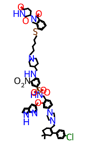 CC1(C)CCC(CN2CCN(c3ccc(C(=O)NS(=O)(=O)c4ccc(NCC5CCN(CCCCCCSc6cccc7c6CN(C6CCC(=O)NC6=O)C7=O)CC5)c([N+](=O)[O-])c4)c(Oc4cnc5[nH]ccc5c4)c3)CC2)=C(c2ccc(Cl)cc2)C1